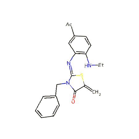 C=C1SC(=Nc2cc(C(C)=O)ccc2NCC)N(Cc2ccccc2)C1=O